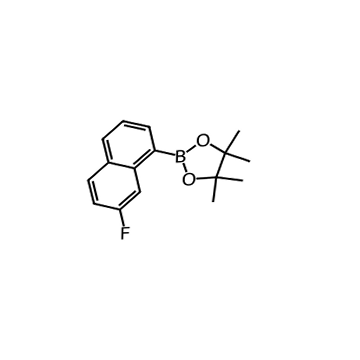 CC1(C)OB(c2cccc3ccc(F)cc23)OC1(C)C